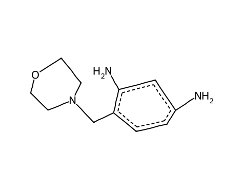 Nc1ccc(CN2CCOCC2)c(N)c1